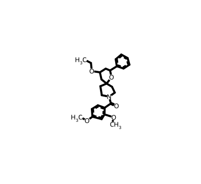 CCOC1CC(c2ccccc2)OC2(CCN(C(=O)c3ccc(OC)cc3OC)CC2)C1